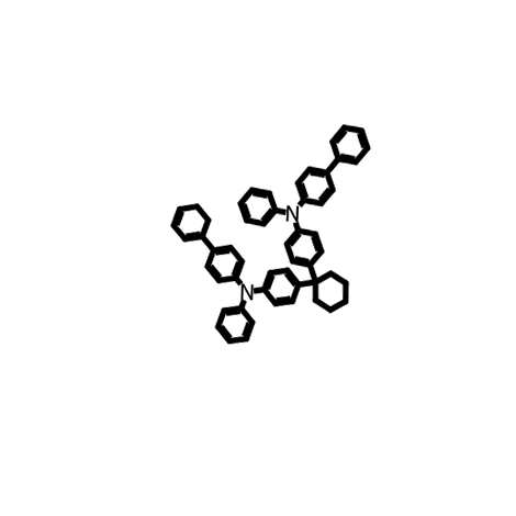 C1=CCCC(c2ccc(N(c3ccccc3)c3ccc(C4(c5ccc(N(c6ccccc6)c6ccc(-c7ccccc7)cc6)cc5)CCCCC4)cc3)cc2)=C1